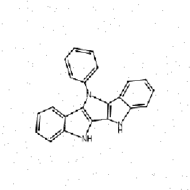 c1ccc(-n2c3c4ccccc4[nH]c3c3[nH]c4ccccc4c32)cc1